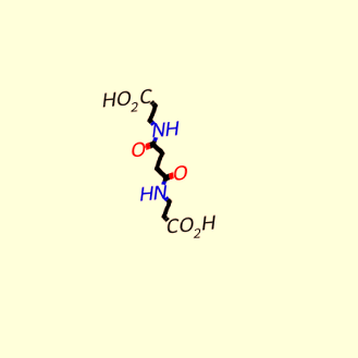 O=C(O)CCNC(=O)CCC(=O)NCCC(=O)O